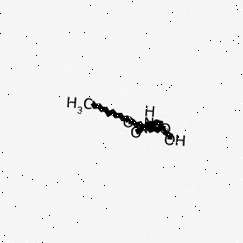 CCCCCCCCCCCCOCCCN(C=O)c1cc2cc(OCCO)ccc2[nH]1